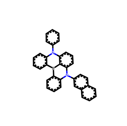 c1ccc(N2c3ccccc3B3c4ccccc4N(c4ccc5ccccc5c4)c4cccc2c43)cc1